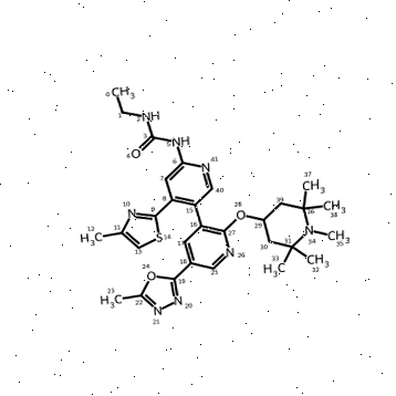 CCNC(=O)Nc1cc(-c2nc(C)cs2)c(-c2cc(-c3nnc(C)o3)cnc2OC2CC(C)(C)N(C)C(C)(C)C2)cn1